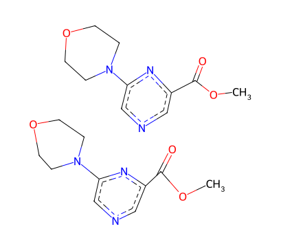 COC(=O)c1cncc(N2CCOCC2)n1.COC(=O)c1cncc(N2CCOCC2)n1